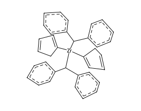 C1=CC[C]([Zr]([C]2=CC=CC2)([CH](c2ccccc2)c2ccccc2)[CH](c2ccccc2)c2ccccc2)=C1